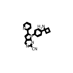 N#Cc1ncc2cc(-c3ccccn3)n(-c3ccc(C4(N)CCC4)cc3)c2n1